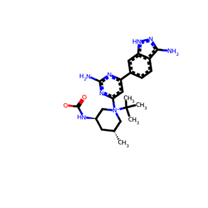 C[C@@H]1C[C@@H](NC(=O)[O-])C[N+](c2cc(-c3ccc4c(N)n[nH]c4c3)nc(N)n2)(C(C)(C)C)C1